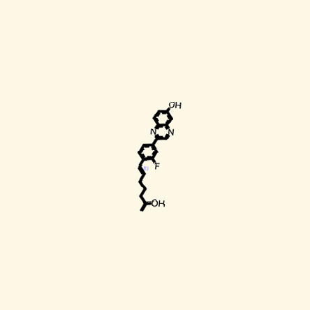 CC(O)CCC/C=C/c1ccc(-c2cnc3cc(O)ccc3n2)cc1F